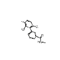 CNC(=O)c1cccc(-c2c(Cl)ccc(C)c2Cl)c1